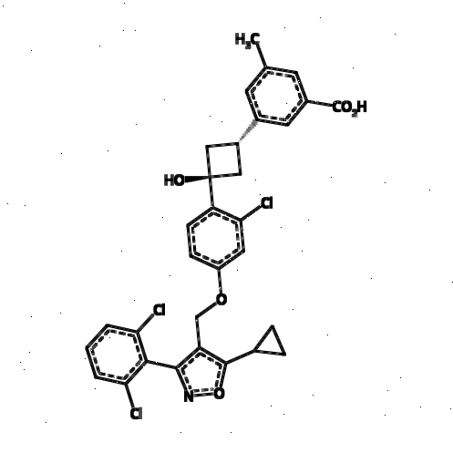 Cc1cc(C(=O)O)cc([C@H]2C[C@@](O)(c3ccc(OCc4c(-c5c(Cl)cccc5Cl)noc4C4CC4)cc3Cl)C2)c1